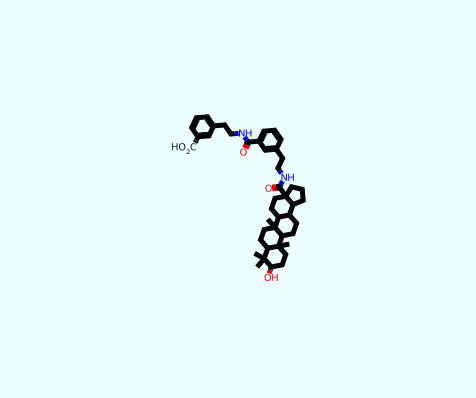 CC1(C)C(O)CCC2(C)C1CCC1(C)C3CCC4(C(=O)NCCc5cccc(C(=O)NCCc6cccc(C(=O)O)c6)c5)CCCC4C3CCC12